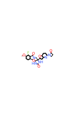 COc1ccc2c(c1F)C(=O)N(C[C@@]1(c3cc4nc(N5CCC5=O)ccc4o3)NC(=O)NC1=O)C2